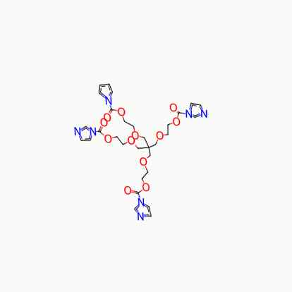 O=C(OCCOCC(COCCOC(=O)n1ccnc1)(COCCOC(=O)n1ccnc1)COCCOC(=O)n1ccnc1)n1cccc1